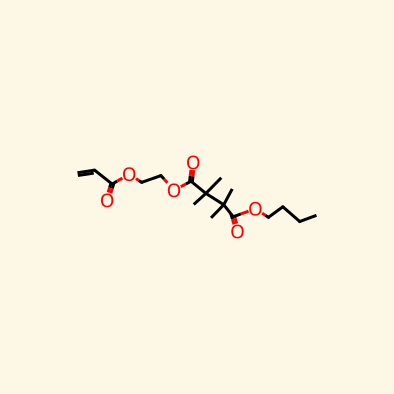 C=CC(=O)OCCOC(=O)C(C)(C)C(C)(C)C(=O)OCCCC